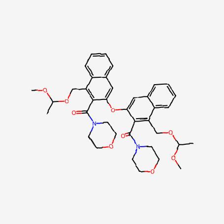 COC(C)OCc1c(C(=O)N2CCOCC2)c(Oc2cc3ccccc3c(COC(C)OC)c2C(=O)N2CCOCC2)cc2ccccc12